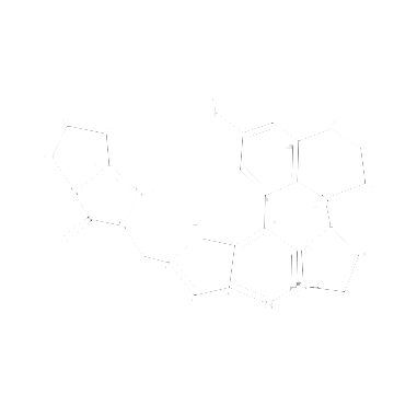 O=c1n(Cc2cc3nccc(-c4cc(Cl)cc5c4N(C4CCNC4)CCC5)c3s2)nc2n1CCC2